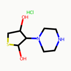 Cl.OC1CSC(O)C1N1CCNCC1